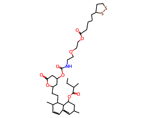 CCC(C)C(=O)OC1CC(C)C=C2C=CC(C)C(CCC3CC(OC(=O)NCCOCCOC(=O)CCCCC4CCSS4)CC(=O)O3)C21